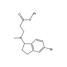 CC(C)OC(=O)CCN(C)C1CCc2cc(Br)ccc21